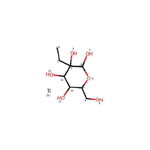 CCC1(O)C(O)OC(CO)C(O)C1O.[Ti]